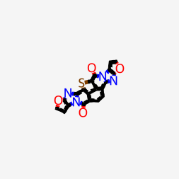 O=c1c2sc3c4c(ccc(c24)c2nc4occc4n12)c(=O)n1c2ccoc2nc31